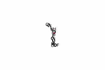 Fc1ccc2onc(N3CCN4CC(COc5cccc(CNCCN6CCOCC6)n5)CCC4C3)c2c1